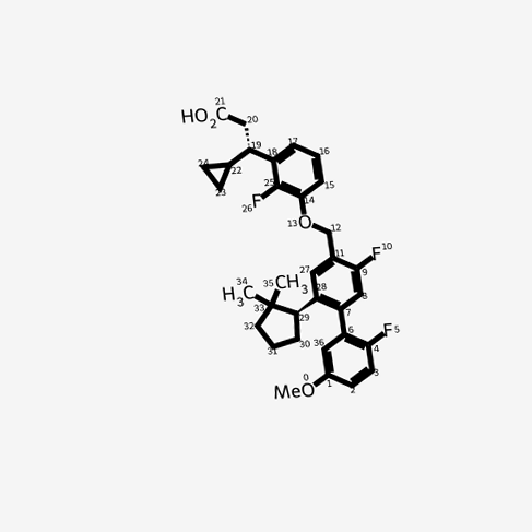 COc1ccc(F)c(-c2cc(F)c(COc3cccc([C@@H](CC(=O)O)C4CC4)c3F)cc2[C@H]2CCCC2(C)C)c1